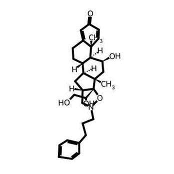 C[C@]12C=CC(=O)C=C1CC[C@@H]1[C@@H]2[C@@H](O)C[C@@]2(C)[C@H]1C[C@H]1CN(CCCc3ccccc3)O[C@]12C(O)CO